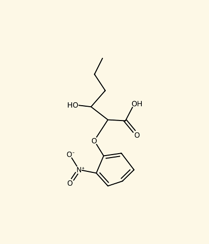 CCCC(O)C(Oc1ccccc1[N+](=O)[O-])C(=O)O